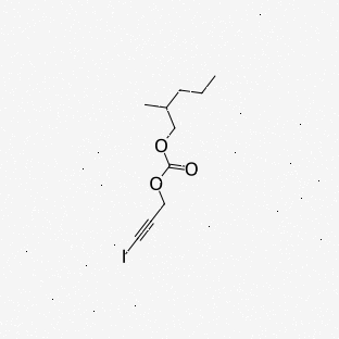 CCCC(C)COC(=O)OCC#CI